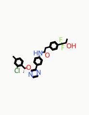 Cc1ccc([C@@H](C)Oc2nccnc2-c2ccc(NC(=O)Cc3ccc(C(F)(F)C(C)O)cc3)cc2)c(Cl)c1